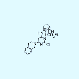 CCOC(=O)[C@H]1C2CCC(CC2)[C@@H]1Nc1cc(N2CCc3ccccc3C2)nc(Cl)n1